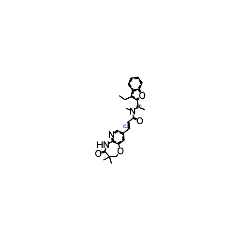 CCc1c([C@@H](C)N(C)C(=O)/C=C/c2cnc3c(c2)OCC(C)(C)C(=O)N3)oc2ccccc12